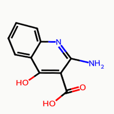 Nc1nc2ccccc2c(O)c1C(=O)O